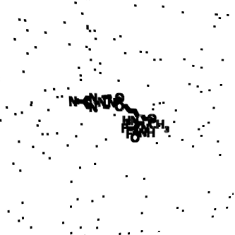 COCC[C@@H](/C=C/COC(=O)N1CCN(c2ncc(C#N)cn2)CC1)Nc1cn[nH]c(=O)c1C(F)(F)F